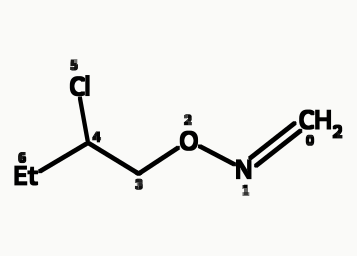 C=NOCC(Cl)CC